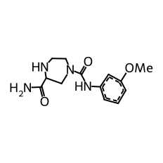 COc1cccc(NC(=O)N2CCNC(C(N)=O)C2)c1